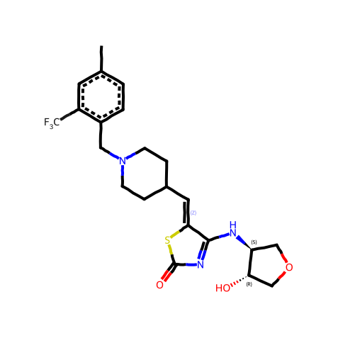 Cc1ccc(CN2CCC(/C=C3\SC(=O)N=C3N[C@H]3COC[C@@H]3O)CC2)c(C(F)(F)F)c1